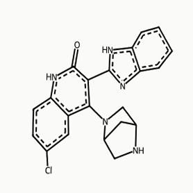 O=c1[nH]c2ccc(Cl)cc2c(N2CC3CC2CN3)c1-c1nc2ccccc2[nH]1